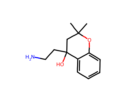 CC1(C)CC(O)(CCN)c2ccccc2O1